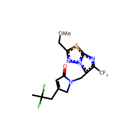 COCc1nn2c(CN3CC(CC(C)(F)F)=CC3=O)c(C(F)(F)F)nc2s1